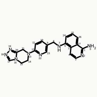 Nc1nccc2c(NCc3ccc(N4CCn5cnnc5C4)nc3)cccc12